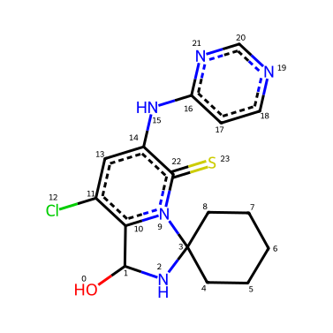 OC1NC2(CCCCC2)n2c1c(Cl)cc(Nc1ccncn1)c2=S